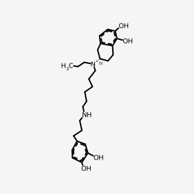 CCCN(CCCCCCNCCCc1ccc(O)c(O)c1)[C@H]1CCc2c(ccc(O)c2O)C1